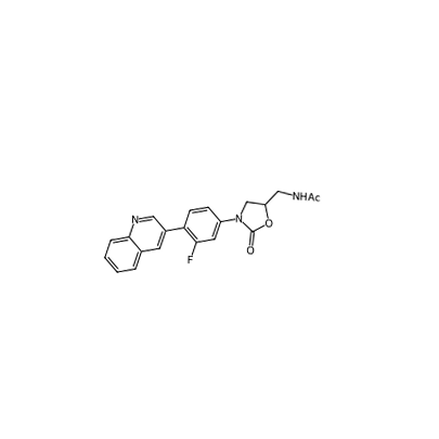 CC(=O)NCC1CN(c2ccc(-c3cnc4ccccc4c3)c(F)c2)C(=O)O1